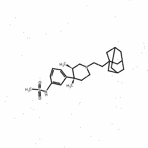 C[C@H]1CN(CCC23CC4CC(CC(C4)C2)C3)CC[C@]1(C)c1cccc(NS(C)(=O)=O)c1